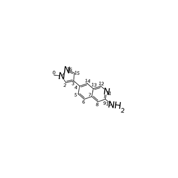 Cn1cc(-c2ccc3cc(N)ncc3c2)cn1